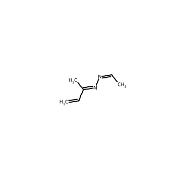 C=C/C(C)=N/N=C\C